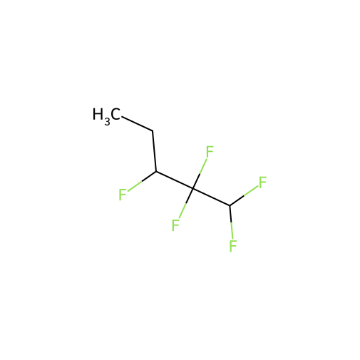 CCC(F)C(F)(F)C(F)F